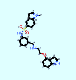 Cn1ccc2cc(S(=O)(=O)Nc3cccc(CNCCOc4cccc5[nH]ccc45)c3)ccc21